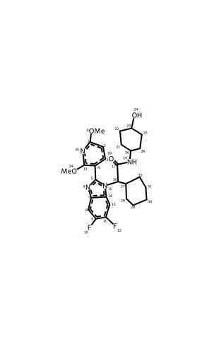 COc1ccc(-c2nc3cc(F)c(F)cc3n2C(C(=O)NC2CCC(O)CC2)C2CCCCC2)c(OC)n1